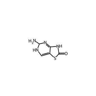 NC1N=c2[nH]c(=O)sc2=CN1